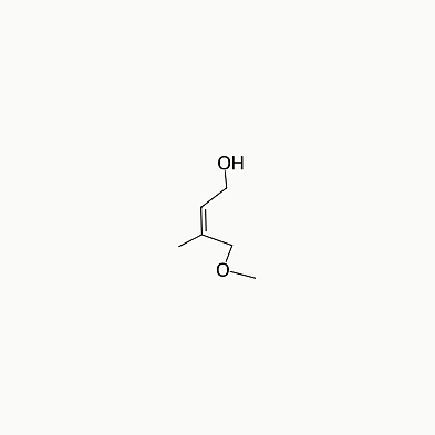 COC/C(C)=C\CO